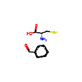 N[C@@H](CS)C(=O)O.O=Cc1ccccc1